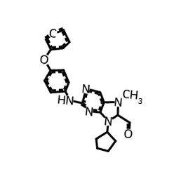 CN1c2cnc(Nc3ccc(Oc4ccccc4)cc3)nc2N(C2CCCC2)C1C=O